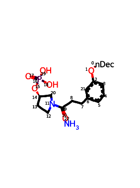 CCCCCCCCCCOc1cccc(CCC(=O)N2CC[C@@H](OP(=O)(O)O)C2)c1.N